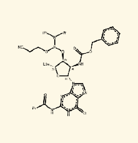 CC[C@H]1O[C@@H](n2cnc3c(=O)[nH]c(NC(=O)C(C)C)nc32)[C@H](NC(=O)OCc2ccccc2)[C@@H]1OP(OCCC#N)N(C(C)C)C(C)C